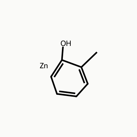 Cc1ccccc1O.[Zn]